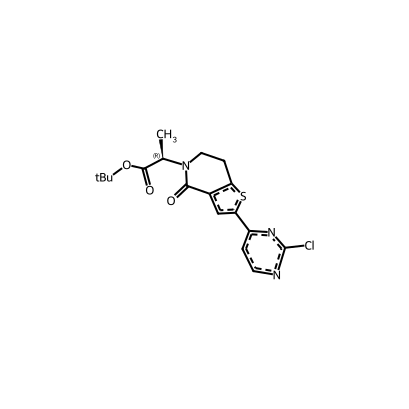 C[C@H](C(=O)OC(C)(C)C)N1CCc2sc(-c3ccnc(Cl)n3)cc2C1=O